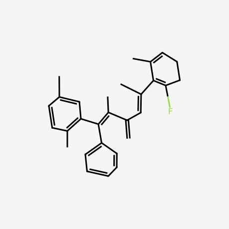 C=C(/C=C(\C)C1=C(F)CCC=C1C)/C(C)=C(\c1ccccc1)c1cc(C)ccc1C